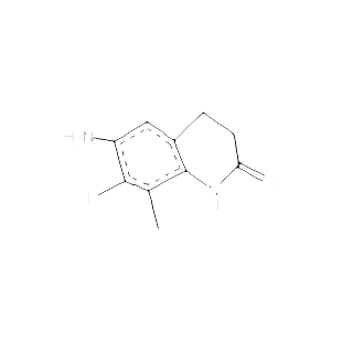 Cc1c(F)c(N)cc2c1NC(=O)CC2